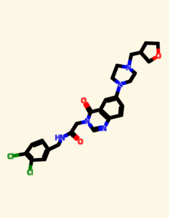 O=C(Cn1cnc2ccc(N3CCN(CC4CCOC4)CC3)cc2c1=O)NCc1ccc(Cl)c(Cl)c1